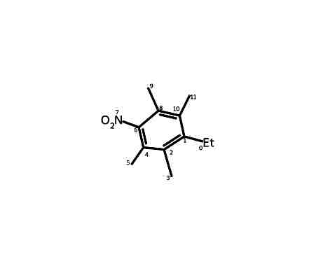 CCc1c(C)c(C)c([N+](=O)[O-])c(C)c1C